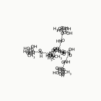 CC(=O)NC1C(OCCCCC(=O)NCCCCCC(=O)N2C[C@H](O)C[C@H]2COP(=O)(O)O[C@@H]2C[C@@H](COP(=O)(O)O[C@@H]3C[C@@H](P(=O)(O)OC(C)C)N(C(=O)CCCCCNC(=O)CCCCOC4OC(CO)C(O)C(O)C4NC(C)=O)C3)N(C(=O)CCCCCNC(=O)CCCCOC3OC(CO)C(O)C(O)C3NC(C)=O)C2)OC(CO)C(O)C1O